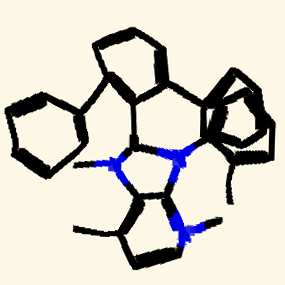 Cc1ccccc1N1B(c2c(-c3ccccc3)cccc2-c2ccccc2)N(C)c2c(C)cc[n+](C)c21